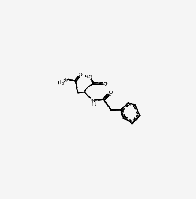 NC(=O)C[C@H](NC(=O)Cc1ccccc1)C(=O)O